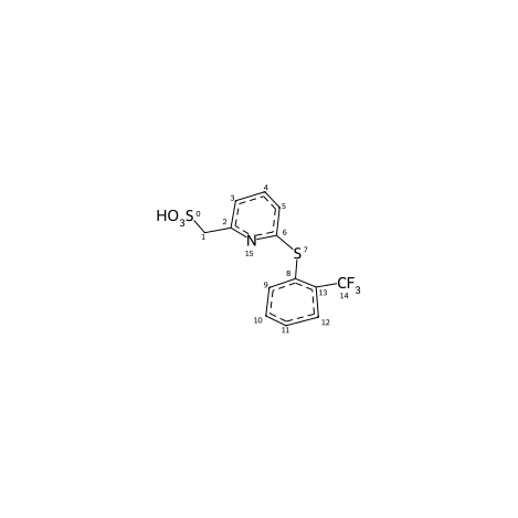 O=S(=O)(O)Cc1cccc(Sc2ccccc2C(F)(F)F)n1